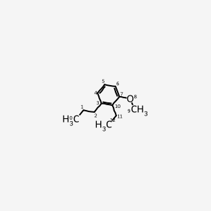 CCCc1cccc(OC)c1CC